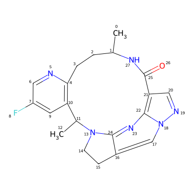 CC1CCc2ncc(F)cc2C(C)N2CCc3cn4ncc(c4nc32)C(=O)N1